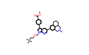 COC(=O)c1ccc(-c2cn(COCC[Si](C)(C)C)c3ncc(-c4cc5c6c(c4)CN(C)CC6CCC5)cc23)cc1